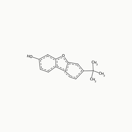 CC(C)(C)c1ccc2c(c1)oc1cc(O)ccc12